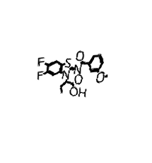 CCC(C(=O)O)n1c(=NC(=O)c2cccc(OC)c2)sc2cc(F)c(F)cc21